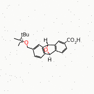 CC(C)(C)[Si](C)(C)OCc1ccc2c(c1)[C@H]1O[C@H]2c2ccc(C(=O)O)cc21